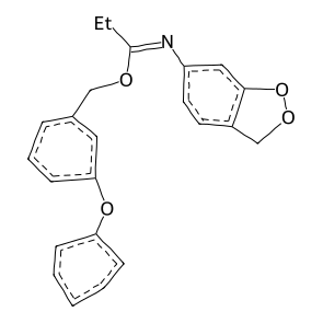 CC/C(=N/c1ccc2c(c1)OOC2)OCc1cccc(Oc2ccccc2)c1